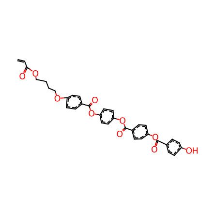 C=CC(=O)OCCCCOc1ccc(C(=O)Oc2ccc(OC(=O)c3ccc(OC(=O)c4ccc(O)cc4)cc3)cc2)cc1